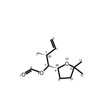 C=C[C@@H](C)C(OC=O)[C@H]1CCC(C)(C)O1